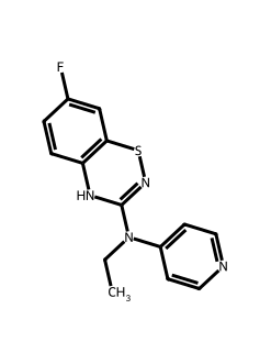 CCN(C1=NSc2cc(F)ccc2N1)c1ccncc1